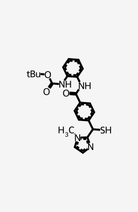 Cn1ccnc1C(S)c1ccc(C(=O)Nc2ccccc2NC(=O)OC(C)(C)C)cc1